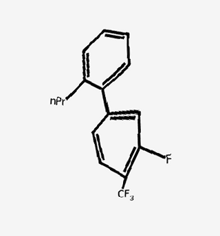 CCCc1ccccc1-c1ccc(C(F)(F)F)c(F)c1